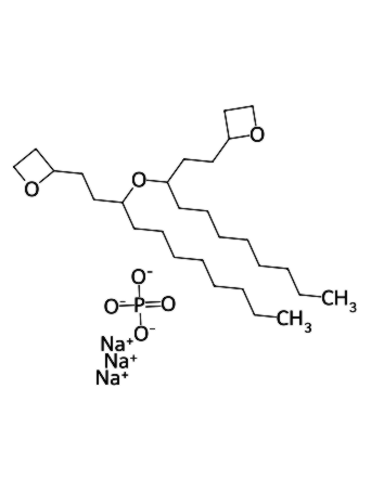 CCCCCCCCC(CCC1CCO1)OC(CCCCCCCC)CCC1CCO1.O=P([O-])([O-])[O-].[Na+].[Na+].[Na+]